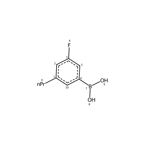 CCCc1cc(F)cc(B(O)O)c1